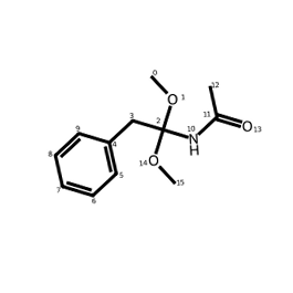 COC(Cc1ccccc1)(NC(C)=O)OC